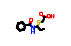 CCC(NC(=O)c1ccccc1)SCC(=O)O